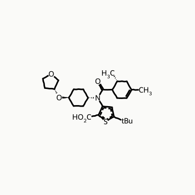 CC1=CCC(C(=O)N(c2cc(C(C)(C)C)sc2C(=O)O)[C@H]2CC[C@H](O[C@@H]3CCOC3)CC2)[C@H](C)C1